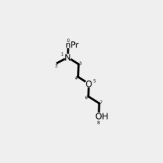 CCCN(C)CCOCCO